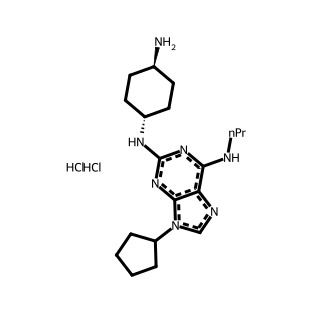 CCCNc1nc(N[C@H]2CC[C@H](N)CC2)nc2c1ncn2C1CCCC1.Cl.Cl